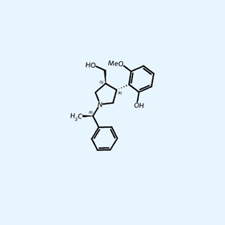 COc1cccc(O)c1[C@@H]1CN([C@H](C)c2ccccc2)C[C@H]1CO